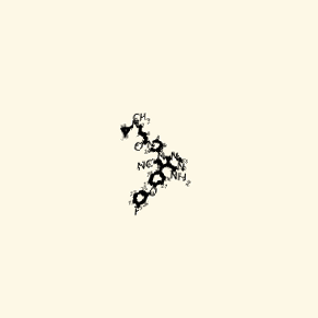 CN(C/C=C/C(=O)N1CCC(n2c(C#N)c(-c3ccc(Oc4cccc(F)c4)cc3)c3c(N)ncnc32)C1)C1CC1